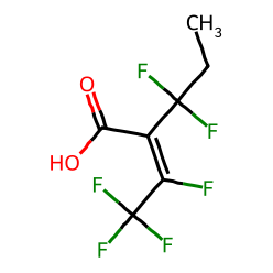 CCC(F)(F)C(C(=O)O)=C(F)C(F)(F)F